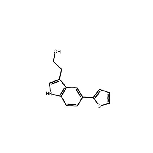 OCCc1c[nH]c2ccc(-c3cccs3)cc12